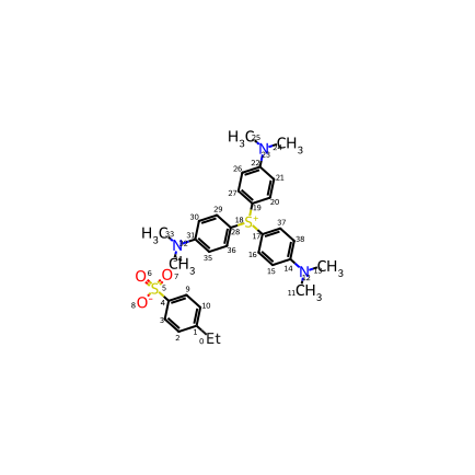 CCc1ccc(S(=O)(=O)[O-])cc1.CN(C)c1ccc([S+](c2ccc(N(C)C)cc2)c2ccc(N(C)C)cc2)cc1